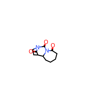 O=C1C2CCN1C(=O)N1C(=O)CCCCC21